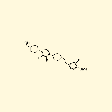 COc1ccc(CCC2CCC(c3ccc(C4CCC(CO)CC4)c(F)c3F)CC2)cc1F